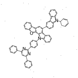 C1=CCC(n2c3ccccc3c3cc(-c4cc5c6ccccc6oc5c5c4c4ccccc4n5-c4ccc(-c5nc(-c6ccccc6)cc(-c6ccccc6)n5)cc4)ccc32)C=C1